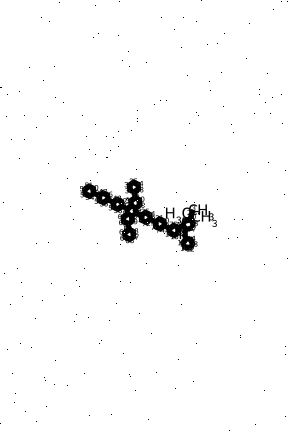 CC(C)(C)C1=Cc2c(n(-c3ccccc3)c3ccc(-c4ccc(-c5ccc(-c6c7ccc(-c8ccccc8)cc7c(-c7ccc(-c8ccc(-c9ccccc9)cc8)cc7)c7ccc(-c8ccccc8)cc67)cc5)cc4)cc23)CC1